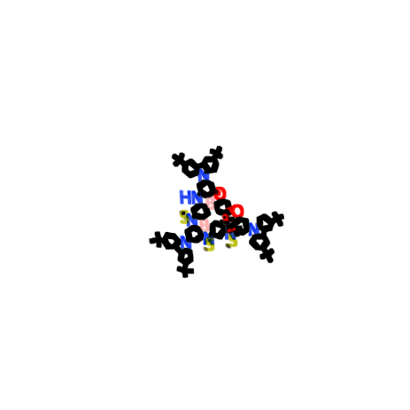 CSN1c2cc3c(cc2B2c4cc(C(C)(C)C)ccc4Oc4cc(-n5c6ccc(C(C)(C)C)cc6c6cc(C(C)(C)C)ccc65)cc1c42)B1c2cc4c(cc2N(SC)c2cc(-n5c6ccc(C(C)(C)C)cc6c6cc(C(C)(C)C)ccc65)cc(c21)N3SC)Nc1cc(-n2c3ccc(C(C)(C)C)cc3c3cc(C(C)(C)C)ccc32)cc2c1B4c1cc(C(C)(C)C)ccc1O2